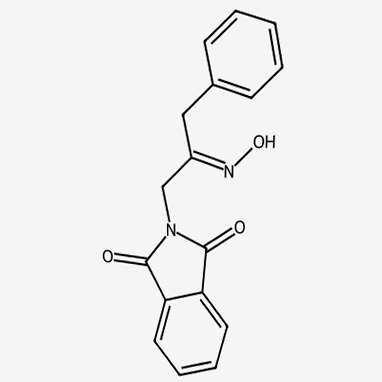 O=C1c2ccccc2C(=O)N1CC(Cc1ccccc1)=NO